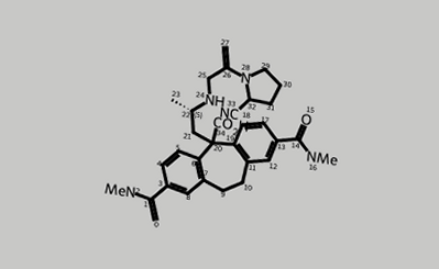 C=C(NC)c1ccc2c(c1)CCc1cc(C(=O)NC)ccc1C2(C[C@H](C)NCC(=C)N1CCCC1C#N)C(=O)O